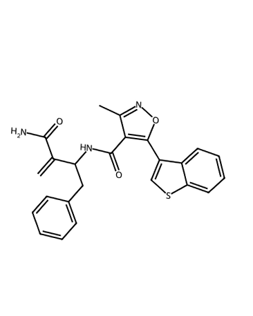 C=C(C(N)=O)C(Cc1ccccc1)NC(=O)c1c(C)noc1-c1csc2ccccc12